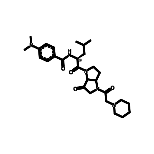 CC(C)C[C@H](NC(=O)c1ccc(N(C)C)cc1)C(=O)N1CCC2C1C(=O)CN2C(=O)CN1CCCCC1